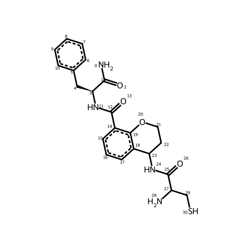 NC(=O)[C@H](Cc1ccccc1)NC(=O)c1cccc2c1OCCC2NC(=O)C(N)CS